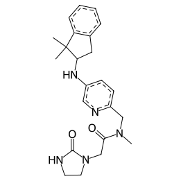 CN(Cc1ccc(NC2Cc3ccccc3C2(C)C)cn1)C(=O)CN1CCNC1=O